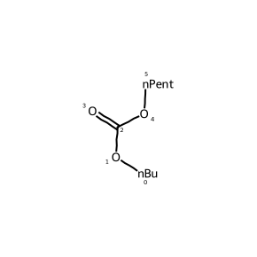 [CH2]CCCOC(=O)OCCCCC